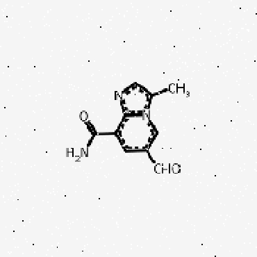 Cc1cnc2c(C(N)=O)cc(C=O)cn12